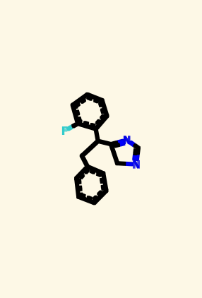 Fc1ccccc1C(Cc1ccccc1)C1=NC=NC1